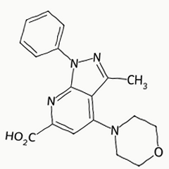 Cc1nn(-c2ccccc2)c2nc(C(=O)O)cc(N3CCOCC3)c12